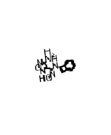 Nc1nonc1/C(=N\O)N[C@@H]1Cc2ccccc21